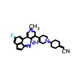 CN1C=C2C(=C(C3=CCN(C4CCC(=CC#N)CC4)CC3)C1)NN=C1C=Cc3cc(F)cc2c31